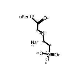 CCCCCC(=O)CNCCS(=O)(=O)[O-].[Na+]